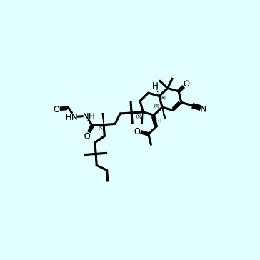 CCCC(C)(C)CC[C@@](C)(CCC(C)(C)[C@]1(C)CC[C@H]2C(C)(C)C(=O)C(C#N)=C[C@]2(C)/C1=C/C(C)=O)C(=O)NNC=O